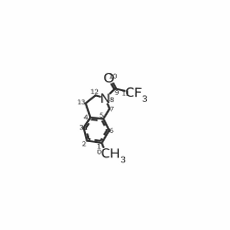 Cc1ccc2c(c1)CN(C(=O)C(F)(F)F)CC2